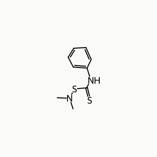 CN(C)SC(=S)Nc1ccccc1